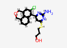 Nc1nc(SCCCO)cc(-c2c(Cl)cc3c4c(cccc24)COC3)n1